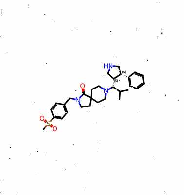 CC(C)C([C@@H]1CNC[C@@H]1c1ccccc1)N1CCC2(CCN(Cc3ccc(S(C)(=O)=O)cc3)C2=O)CC1